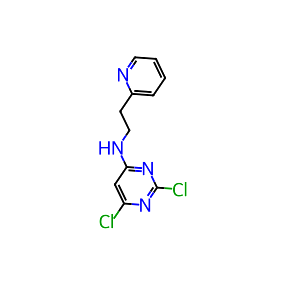 Clc1cc(NCCc2ccccn2)nc(Cl)n1